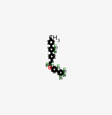 CC1CCC(c2ccc(-c3ccc(CCC(F)(F)Oc4ccc(-c5cc(F)c(F)c(F)c5)c(F)c4)cc3)c(F)c2F)CC1